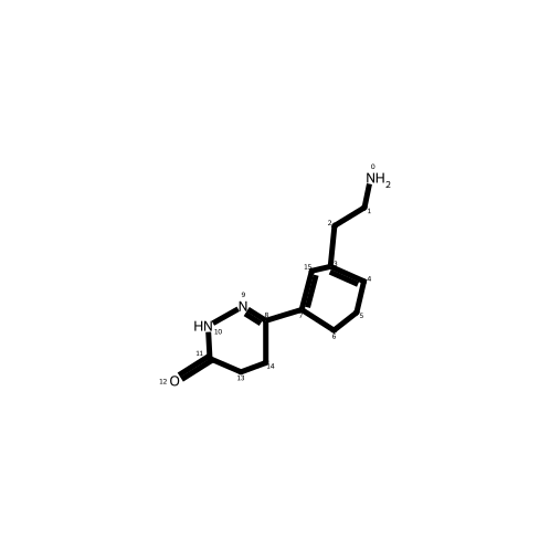 NCCC1=CCCC(C2=NNC(=O)CC2)=C1